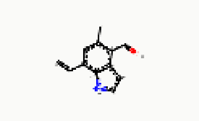 C=Cc1cc(C)c(C=O)c2cc[nH]c12